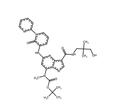 CN(C(=O)OC(C)(C)C)c1cc(Nc2cccn(-c3ccccn3)c2=O)nc2c(C(=O)NCC(C)(C)CO)cnn12